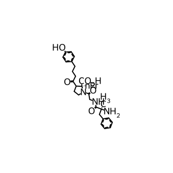 CCC[C@@]1(C(=O)O)C(C(=O)CCCc2ccc(O)cc2)CCN1C(=O)CNC(=O)[C@@](C)(N)Cc1ccccc1